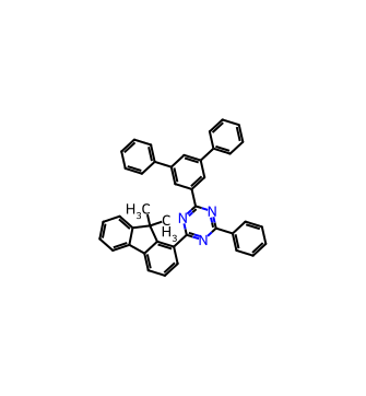 CC1(C)c2ccccc2-c2cccc(-c3nc(-c4ccccc4)nc(-c4cc(-c5ccccc5)cc(-c5ccccc5)c4)n3)c21